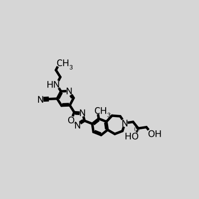 CCCNc1ncc(-c2nc(-c3ccc4c(c3C)CCN(C[C@H](O)CO)CC4)no2)cc1C#N